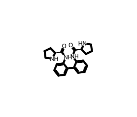 O=C(Nc1ccccc1-c1ccccc1NC(=O)[C@@H]1CCCN1)[C@@H]1CCCN1